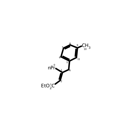 CCC/C(=C\C(=O)OCC)Cc1cccc(C)c1